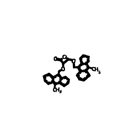 Cc1c2ccccc2c(COC2OC(=O)C2OCc2c3ccccc3c(C)c3ccccc23)c2ccccc12